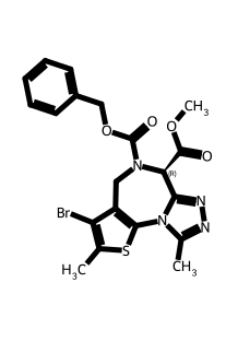 COC(=O)[C@H]1c2nnc(C)n2-c2sc(C)c(Br)c2CN1C(=O)OCc1ccccc1